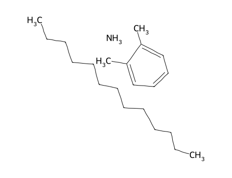 CCCCCCCCCCCCC.Cc1ccccc1C.N